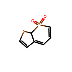 O=S1(=O)C=CC=C2C=CSC21